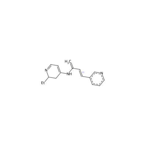 C=C(/C=C/c1cccnc1)NC1=CC=NC(CC)C1